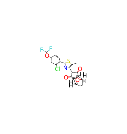 Cc1sc(-c2ccc(OC(F)F)cc2Cl)nc1C1C(=O)[C@@H]2[C@H](C1=O)[C@H]1CC[C@@H]2O1